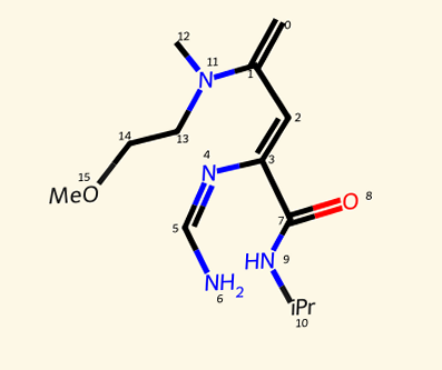 C=C(/C=C(\N=C/N)C(=O)NC(C)C)N(C)CCOC